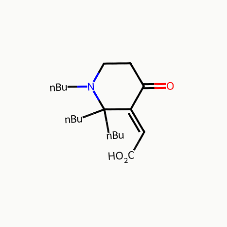 CCCCN1CCC(=O)C(=CC(=O)O)C1(CCCC)CCCC